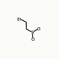 CCCC[Si](Cl)Cl